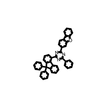 c1ccc(-c2nc(-c3ccc4c(c3)oc3ccccc34)nc(-c3cccc4c3-c3ccccc3C4(c3ccccc3)c3ccccc3)n2)cc1